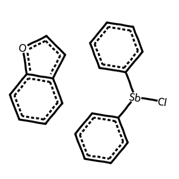 [Cl][Sb]([c]1ccccc1)[c]1ccccc1.c1ccc2occc2c1